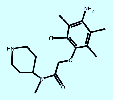 Cc1c(C)c(OCC(=O)N(C)C2CCNCC2)c(Cl)c(C)c1N